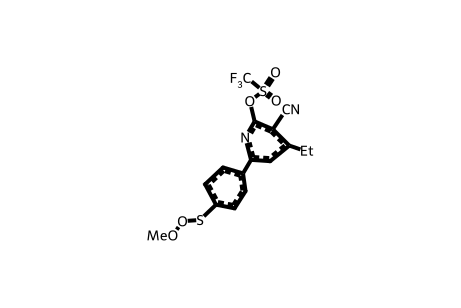 CCc1cc(-c2ccc(SOOC)cc2)nc(OS(=O)(=O)C(F)(F)F)c1C#N